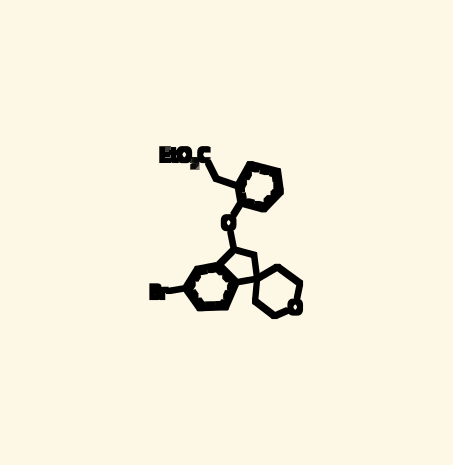 CCOC(=O)Cc1ccccc1OC1CC2(CCOCC2)c2ccc(Br)cc21